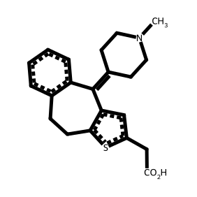 CN1CCC(=C2c3ccccc3CCc3sc(CC(=O)O)cc32)CC1